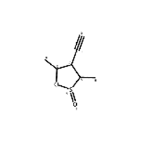 C#CC1C(C)OS(=O)C1C